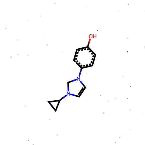 Oc1ccc(N2C=CN(C3CC3)C2)cc1